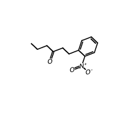 CCCC(=O)CCc1ccccc1[N+](=O)[O-]